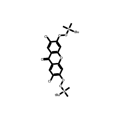 CC(C)(C)[Si](C)(C)OOc1cc2oc3cc(OO[Si](C)(C)C(C)(C)C)c(Cl)cc3c(=O)c2cc1Cl